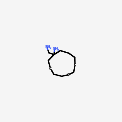 NCC1(N)CCCCCCCCCC1